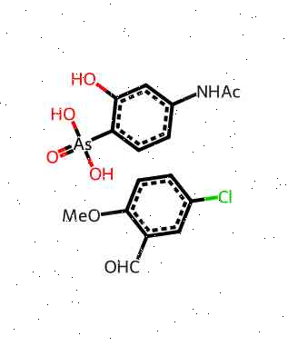 CC(=O)Nc1ccc([As](=O)(O)O)c(O)c1.COc1ccc(Cl)cc1C=O